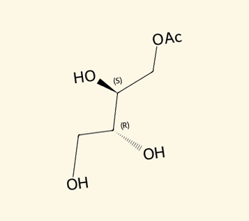 CC(=O)OC[C@H](O)[C@H](O)CO